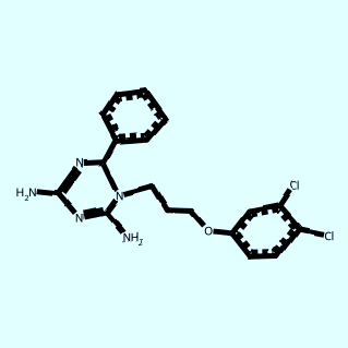 NC1=NC(c2ccccc2)N(CCCOc2ccc(Cl)c(Cl)c2)C(N)=N1